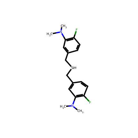 CN(C)c1cc(C[SiH]Cc2ccc(F)c(N(C)C)c2)ccc1F